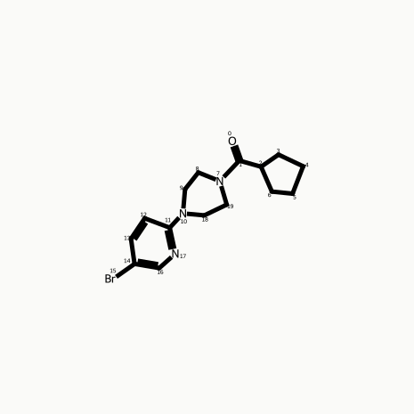 O=C(C1CCCC1)N1CCN(c2ccc(Br)cn2)CC1